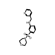 O=S(=O)(c1cccc(NCc2cccnc2)c1)N1CCOCC1